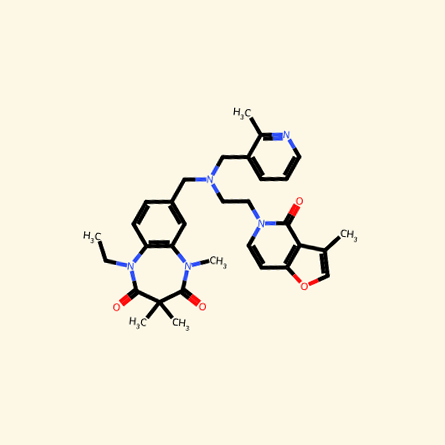 CCN1C(=O)C(C)(C)C(=O)N(C)c2cc(CN(CCn3ccc4occ(C)c4c3=O)Cc3cccnc3C)ccc21